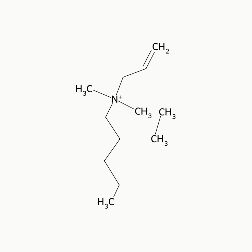 C=CC[N+](C)(C)CCCCC.CC